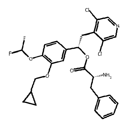 N[C@H](Cc1ccccc1)C(=O)O[C@@H](Cc1c(Cl)cncc1Cl)c1ccc(OC(F)F)c(OCC2CC2)c1